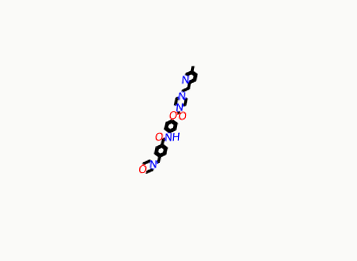 Cc1ccc(CCN2CCN(C(=O)Oc3ccc(NC(=O)c4ccc(CN5CCOCC5)cc4)cc3)CC2)nc1